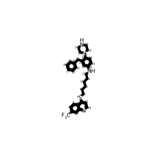 FC(F)(F)c1ccc2c(SCCCCCCNc3ccc(N4CCNCC4)c(Cc4ccccc4)c3)ccnc2c1